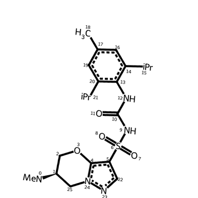 CN[C@H]1COc2c(S(=O)(=O)NC(=O)Nc3c(C(C)C)cc(C)cc3C(C)C)cnn2C1